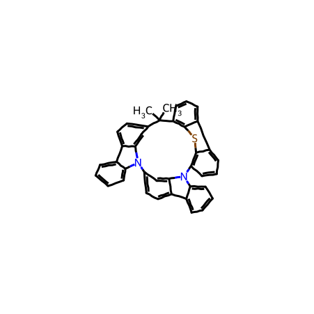 CC1(C)c2ccc3c4ccccc4n(c3c2)-c2ccc3c4ccccc4n(c3c2)-c2cccc3c2sc2c1cccc23